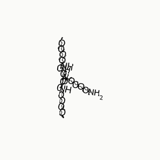 C#CCOCCOCCOCCOCCNC(=O)CCOCC(COCCC(=O)NCCOCCOCCOCCOCC#C)NC(=O)CCOCCOCCOCCOCCN